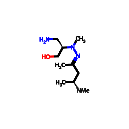 CN[C@H](C)C/C(C)=N/N(C)[C@@H](CN)CO